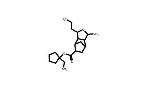 CCCC1OC(C)C2C3CC(C(=O)OC4(CC)CCCC4)C(C3)C12